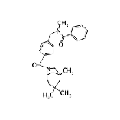 CN(Cc1ccc(C(=O)N2CC3(C)CC2CC(C)(C)C3)cc1)C(=O)c1ccccc1